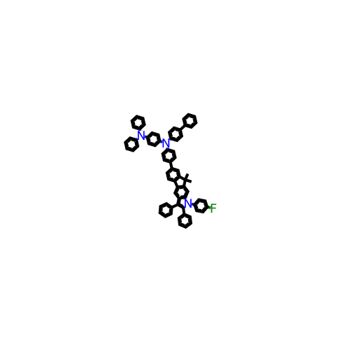 CC1(C)c2cc(-c3ccc(N(c4ccc(-c5ccccc5)cc4)c4ccc(N(c5ccccc5)c5ccccc5)cc4)cc3)ccc2-c2cc3c(-c4ccccc4)c(-c4ccccc4)n(-c4ccc(F)cc4)c3cc21